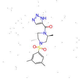 Cc1cc(C)cc(S(=O)(=O)N2C[C@H](C)N(C(=O)c3cnn[nH]3)C[C@H]2C)c1